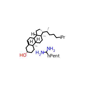 CC(C)CCC[C@@H](C)[C@H]1CC[C@H]2[C@@H]3CC=C4C[C@@H](O)CC[C@]4(C)[C@H]3CC[C@]12C.CCCCCC(N)N